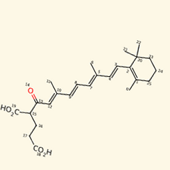 CC1=C(/C=C/C(C)=C/C=C/C(C)=C/C(=O)C(CCC(=O)O)C(=O)O)C(C)(C)CCC1